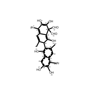 CC1=CC2=C(C(C)C)C(O)=C(O)C(C=O)(C=O)C2=C(O)C1c1c(C)cc2c(C(C)C)c(O)c(O)cc2c1O